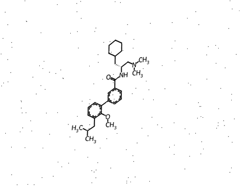 COc1c(CC(C)C)cccc1-c1cccc(C(=O)N[C@H](CC2CCCCC2)CN(C)C)c1